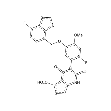 COc1cc(F)c(-n2c(=O)[nH]c3csc(C(=O)O)c3c2=O)cc1OCc1ccc(F)c2scnc12